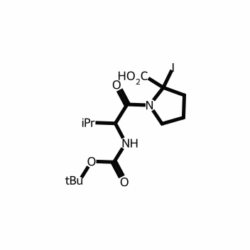 CC(C)C(NC(=O)OC(C)(C)C)C(=O)N1CCCC1(I)C(=O)O